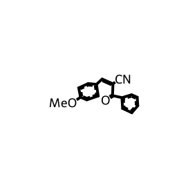 COc1ccc(C=C(C#N)C(=O)c2ccccc2)cc1